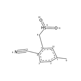 Cc1ccc(C#N)c(C[SH](=O)=O)c1